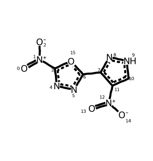 O=[N+]([O-])c1nnc(-c2n[nH]cc2[N+](=O)[O-])o1